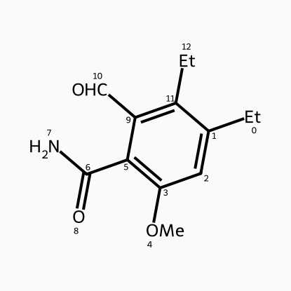 CCc1cc(OC)c(C(N)=O)c(C=O)c1CC